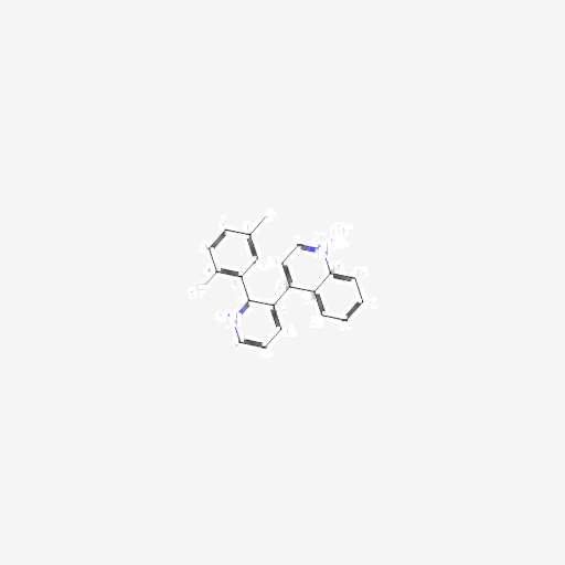 Cc1ccc(F)c(-c2ncccc2-c2cc[n+]([O-])c3ccccc23)c1